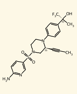 CC#C[C@H]1CN(S(=O)(=O)c2ccc(N)nc2)CCN1c1ccc([C@](C)(O)C(F)(F)F)cc1